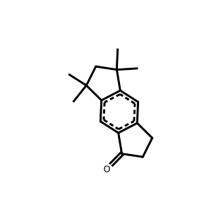 CC1(C)CC(C)(C)c2cc3c(cc21)CCC3=O